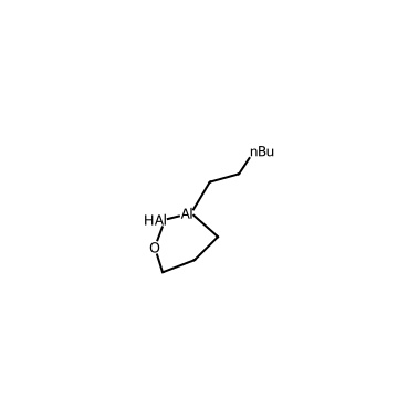 CCCCC[CH2][Al]1[CH2]CC[O][AlH]1